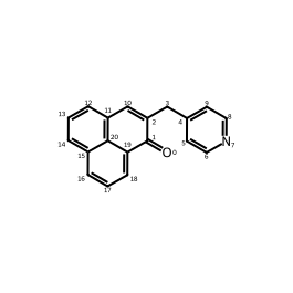 O=C1C(Cc2ccncc2)=Cc2cccc3cccc1c23